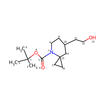 CC(C)(C)OC(=O)N1CCC(CCO)CC12CC2